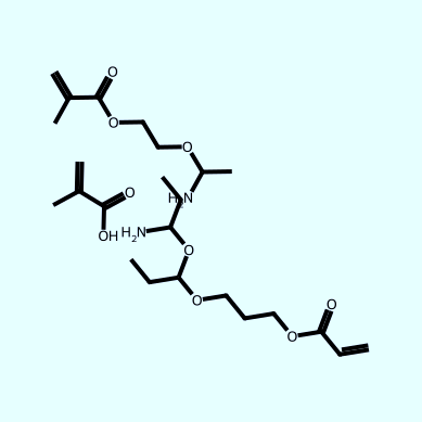 C=C(C)C(=O)O.C=C(C)C(=O)OCCOC(C)N.C=CC(=O)OCCCOC(CC)OC(N)CC